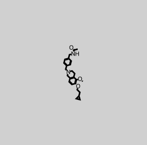 COc1c(OCCC2CC2)ccc2c1CCN(Cc1ccc(CNC(C)=O)cc1)C2